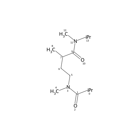 CC(C)C(=O)N(C)CCC(C)C(=O)N(C)C(C)C